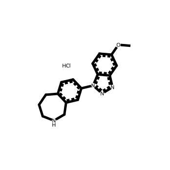 COc1ccc2c(c1)nnn2-c1ccc2c(c1)CNCCC2.Cl